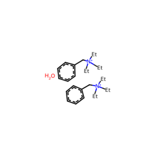 CC[N+](CC)(CC)Cc1ccccc1.CC[N+](CC)(CC)Cc1ccccc1.O